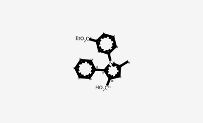 CCOC(=O)c1cccc(-n2c(C)cc(C(=O)O)c2-c2ccccc2)c1